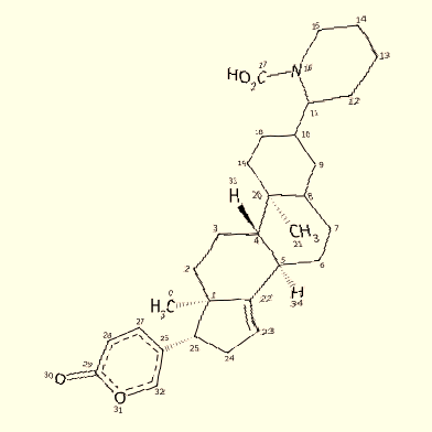 C[C@]12CC[C@H]3[C@@H](CCC4CC(C5CCCCN5C(=O)O)CC[C@@]43C)C1=CC[C@@H]2c1ccc(=O)oc1